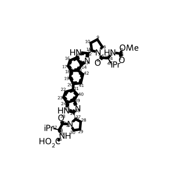 COC(=O)N[C@H](C(=O)N1CCC[C@H]1c1nc2c(ccc3cc(-c4ccc5[nH]c([C@@H]6CCCN6C(=O)[C@@H](NC(=O)O)C(C)C)nc5c4)ccc32)[nH]1)C(C)C